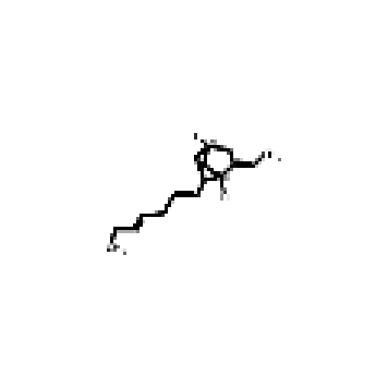 CC=C1C[C@H]2CC(C=CCC=CCC)[C@@H]1C2